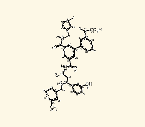 Cc1csc(CN(C)C(=O)c2cc(C(=O)N[C@@H](C)CC(NCc3cccc(C(F)(F)F)c3)c3cccc(O)c3)cc(-c3cccc(N(C)C(=O)O)c3)c2)n1